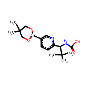 CC1(C)COB(c2ccc(C(NC(=O)O)C(C)(C)C)nc2)OC1